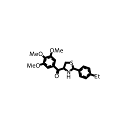 CCc1ccc(C2NC(C(=O)c3cc(OC)c(OC)c(OC)c3)CS2)cc1